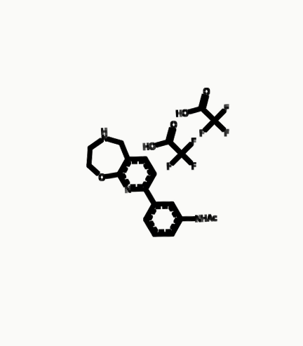 CC(=O)Nc1cccc(-c2ccc3c(n2)OCCNC3)c1.O=C(O)C(F)(F)F.O=C(O)C(F)(F)F